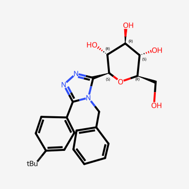 CC(C)(C)c1ccc(-c2nnc([C@@H]3O[C@H](CO)[C@@H](O)[C@H](O)[C@H]3O)n2Cc2ccccc2)cc1